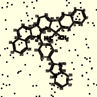 CC1(C)c2cc3ccccc3cc2-c2ccc3c4ccc5ccccc5c4n(-c4ccc(-c5cn6ccccc6n5)cc4)c3c21